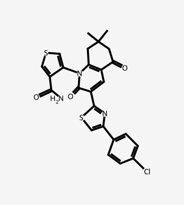 CC1(C)CC(=O)c2cc(-c3nc(-c4ccc(Cl)cc4)cs3)c(=O)n(-c3cscc3C(N)=O)c2C1